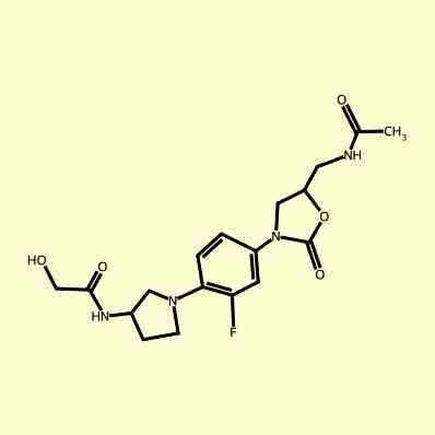 CC(=O)NCC1CN(c2ccc(N3CCC(NC(=O)CO)C3)c(F)c2)C(=O)O1